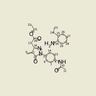 C=C1C(=O)N(c2ccc(NC(C)=O)cc2)N=C1CC(=O)OCC.CCc1ccccc1N